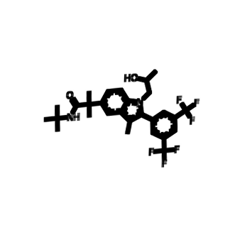 Cc1c(-c2cc(C(F)(F)F)cc(C(F)(F)F)c2)n(CC(C)O)c2ccc(C(C)(C)C(=O)NC(C)(C)C)cc12